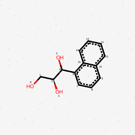 OC[C@H](O)C(O)c1cccc2ccccc12